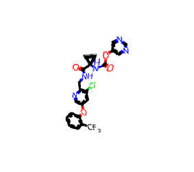 O=C(NC1(C(=O)NCc2ncc(Oc3ccccc3C(F)(F)F)cc2Cl)CC1)Oc1cncnc1